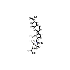 CCC(O)CNS(=O)(=O)/C(C#N)=C(\C)c1ccc(-c2ccc3cc(N(CC)CC)ccc3c2)n1C